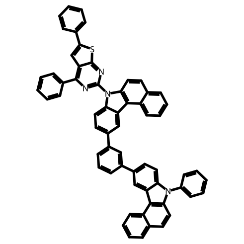 c1ccc(-c2cc3c(-c4ccccc4)nc(-n4c5ccc(-c6cccc(-c7ccc8c(c7)c7c9ccccc9ccc7n8-c7ccccc7)c6)cc5c5c6ccccc6ccc54)nc3s2)cc1